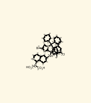 CCc1cc(Cl)c(F)c(C(Nc2ccc3c(N(C(=O)O)C(=O)O)nccc3c2)c2nc(Br)cn2C(c2ccccc2)(c2ccccc2)c2ccccc2)c1